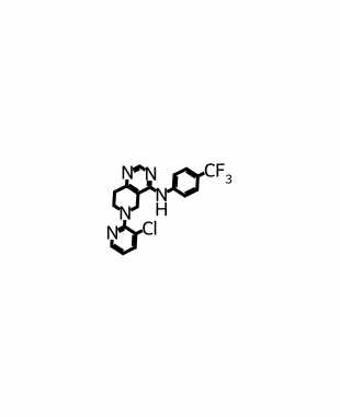 FC(F)(F)c1ccc(Nc2ncnc3c2CN(c2ncccc2Cl)CC3)cc1